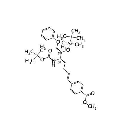 COC(=O)c1ccc(C=CCC[C@@H](NC(=O)OC(C)(C)C)[C@@H](COc2ccccc2)O[Si](C)(C)C(C)(C)C)cc1